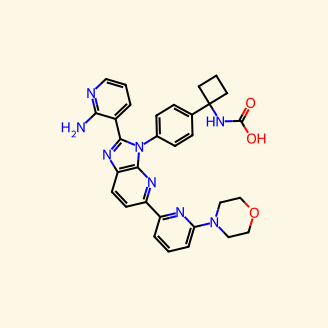 Nc1ncccc1-c1nc2ccc(-c3cccc(N4CCOCC4)n3)nc2n1-c1ccc(C2(NC(=O)O)CCC2)cc1